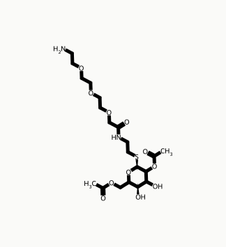 CC(=O)OCC1O[C@@H](SCCNC(=O)COCCOCCOCCN)C(OC(C)=O)C(O)[C@H]1O